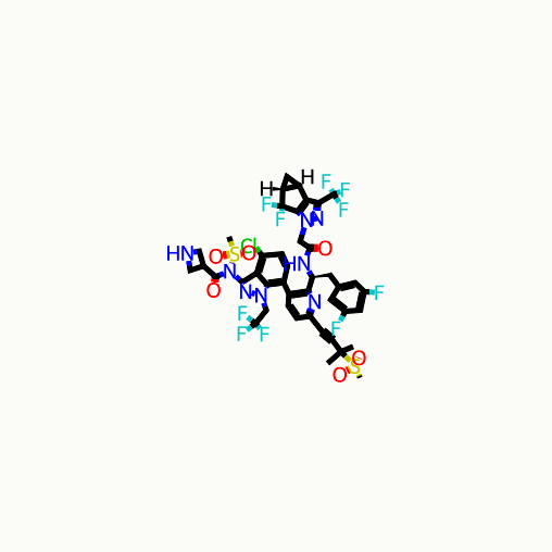 CC(C)(C#Cc1ccc(-c2ccc(Cl)c3c(N(C(=O)C4CNC4)S(C)(=O)=O)nn(CC(F)(F)F)c23)c([C@H](Cc2cc(F)cc(F)c2)NC(=O)Cn2nc(C(F)(F)F)c3c2C(F)(F)[C@@H]2C[C@H]32)n1)S(C)(=O)=O